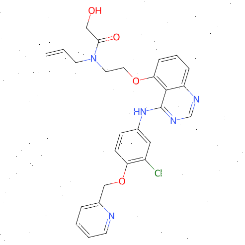 C=CCN(CCOc1cccc2ncnc(Nc3ccc(OCc4ccccn4)c(Cl)c3)c12)C(=O)CO